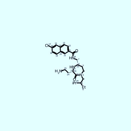 CCC(CN1CC[C@@H](CNC(=O)c2ccc3cc(Cl)ccc3c2)N[C@@H](CCN)C1=O)C(C)C